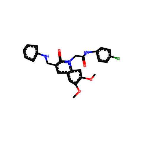 COc1cc2cc(CNc3ccccc3)c(=O)n(CC(=O)Nc3ccc(Cl)cc3)c2cc1OC